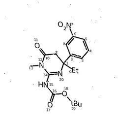 CCC1(c2cccc([N+](=O)[O-])c2)CC(=O)N(C)C(NC(=O)OC(C)(C)C)=N1